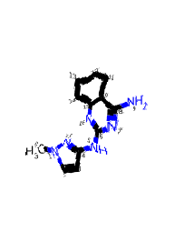 Cn1ccc(Nc2nc(N)c3ccccc3n2)n1